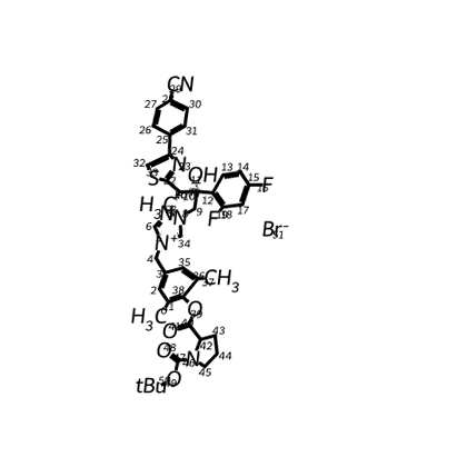 Cc1cc(C[n+]2cnn(C[C@](O)(c3ccc(F)cc3F)[C@@H](C)c3nc(-c4ccc(C#N)cc4)cs3)c2)cc(C)c1OC(=O)C1CCCN1C(=O)OC(C)(C)C.[Br-]